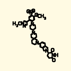 COc1cc(N2CCC(N3CCC4(CCCN(c5ccc6c(c5)CN(C5CCC(=O)NC5=O)C6)C4)CC3)CC2)c(-c2cnn(C)c2)cc1[N+](=O)[O-]